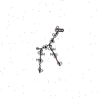 C=CC(=O)OCCCCCOC(=O)NCCCCNC(=O)OCC(CC)(CCOC)CCOC(=O)OCCC(CC)(CCOC(=O)OCCOC(=O)OCOC(=O)c1cc2ccccc2cc1C(=O)OC)COC(=O)NCCCCNC(=O)OCCCCCOC(=O)C=C